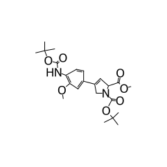 COC(=O)C1C=C(c2ccc(NC(=O)OC(C)(C)C)c(OC)c2)CN1C(=O)OC(C)(C)C